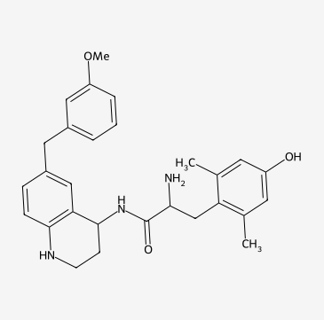 COc1cccc(Cc2ccc3c(c2)C(NC(=O)C(N)Cc2c(C)cc(O)cc2C)CCN3)c1